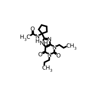 CCCn1c(=O)c2[nH]c(C3(NC(C)=O)CCCC3)nc2n(CCC)c1=O